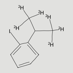 [2H]C([2H])([2H])C(c1ccccc1I)C([2H])([2H])[2H]